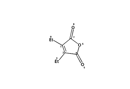 CCC1=C(CC)C(=O)OC1=O